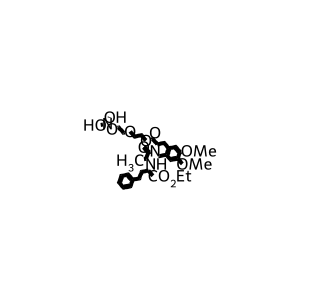 CCOC(=O)C(CCc1ccccc1)NC(C)C(=O)N1Cc2cc(OC)c(OC)cc2CC1C(=O)OCCOCCON(O)O